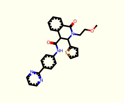 COCCN1C(=O)c2ccccc2C(C(=O)Nc2ccc(-c3ncccn3)cc2)C1c1cccs1